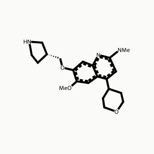 CNc1cc(C2CCOCC2)c2cc(OC)c(OC[C@@H]3CCNC3)cc2n1